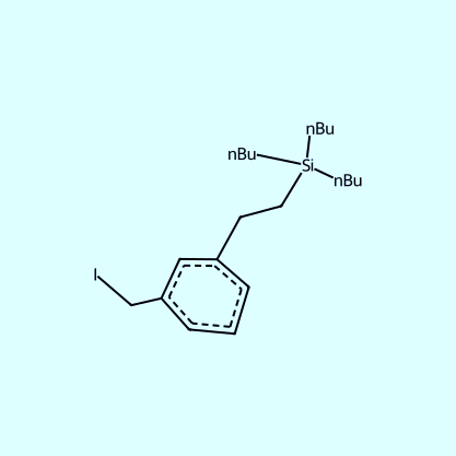 CCCC[Si](CCCC)(CCCC)CCc1cccc(CI)c1